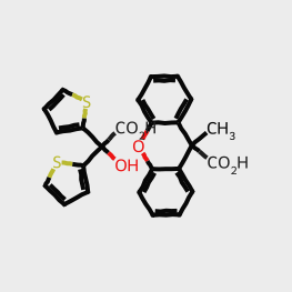 CC1(C(=O)O)c2ccccc2Oc2ccccc21.O=C(O)C(O)(c1cccs1)c1cccs1